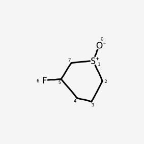 [O-][S+]1CCCC(F)C1